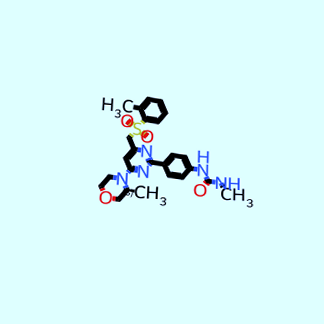 CNC(=O)Nc1ccc(-c2nc(CS(=O)(=O)c3ccccc3C)cc(N3CCOC[C@@H]3C)n2)cc1